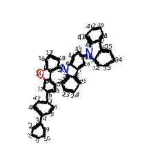 c1ccc(-c2ccc(-c3ccc4c(c3)oc3cccc(-n5c6ccccc6c6cc(-n7c8ccccc8c8ccccc87)ccc65)c34)cc2)cc1